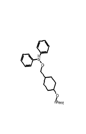 CCCCCOC1CCC(CO[SiH](c2ccccc2)c2ccccc2)CC1